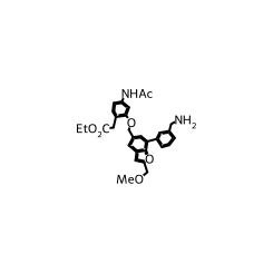 CCOC(=O)Cc1ccc(NC(C)=O)cc1OCc1cc(-c2cccc(CN)c2)c2oc(COC)cc2c1